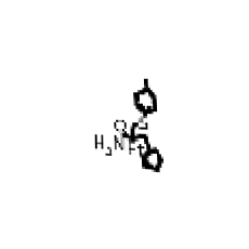 CCC(CSc1ccc(C)cc1)(Cc1ccccc1)C(N)=O